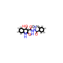 O=C(NNC(=O)c1c(O)c2ccccc2[nH]c1=O)c1ccccc1[N+](=O)[O-]